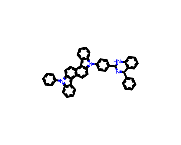 c1ccc(C2=NC(c3ccc(-n4c5ccccc5c5c6ccc7c(c6ccc54)c4ccccc4n7-c4ccccc4)cc3)Nc3ccccc32)cc1